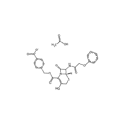 CC(=O)O.O=C(COc1ccccc1)NC1C(=O)N2C(C(=O)OCc3ccc([N+](=O)[O-])cc3)=C(O)CS[C@@H]12